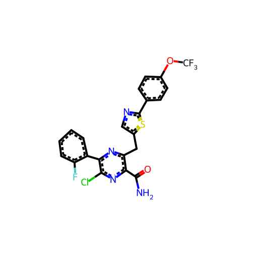 NC(=O)c1nc(Cl)c(-c2ccccc2F)nc1Cc1cnc(-c2ccc(OC(F)(F)F)cc2)s1